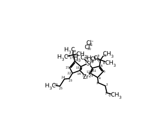 CCCCC1C=C(C(C)(C)C)C2=[C]1[Zr+2][C]1=C(C(C(C)(C)C)=CC1CCCC)[Si]2(C)C.[Cl-].[Cl-]